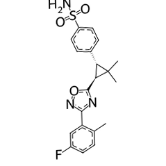 Cc1ccc(F)cc1-c1noc([C@H]2[C@H](c3ccc(S(N)(=O)=O)cc3)C2(C)C)n1